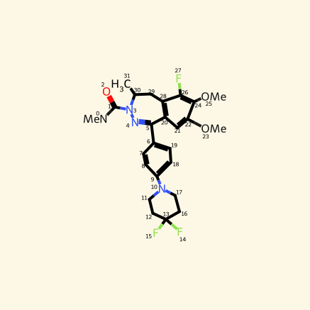 CNC(=O)N1N=C(c2ccc(N3CCC(F)(F)CC3)cc2)c2cc(OC)c(OC)c(F)c2CC1C